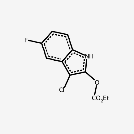 CCOC(=O)Oc1[nH]c2ccc(F)cc2c1Cl